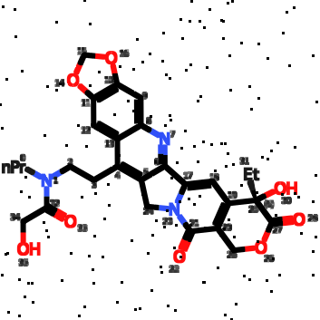 CCCN(CCc1c2c(nc3cc4c(cc13)OCO4)-c1cc3c(c(=O)n1C2)COC(=O)[C@]3(O)CC)C(=O)CO